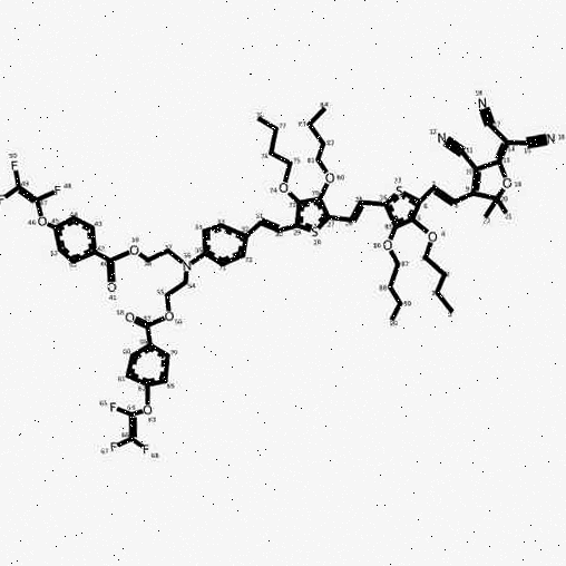 CCCCOc1c(/C=C/C2=C(C#N)C(=C(C#N)C#N)OC2(C)C)sc(/C=C/c2sc(/C=C/c3ccc(N(CCOC(=O)c4ccc(OC(F)=C(F)F)cc4)CCOC(=O)c4ccc(OC(F)=C(F)F)cc4)cc3)c(OCCCC)c2OCCCC)c1OCCCC